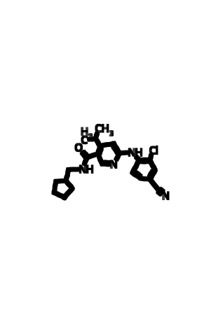 CC(C)c1cc(Nc2ccc(C#N)cc2Cl)ncc1C(=O)NCC1CCCC1